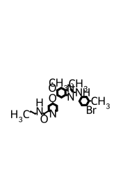 CCCNC(=O)c1cc(Oc2cc3nc(Nc4ccc(Br)c(C)c4)n(C)c3cc2OC)ccn1